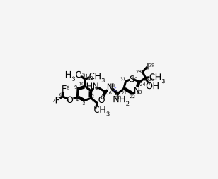 CCc1cc(OC(F)F)cc(C(C)C)c1NC(=O)/N=C(\N)C1=CN=C(C(C)(O)CI)SC1